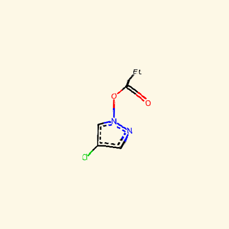 CCC(=O)On1cc(Cl)cn1